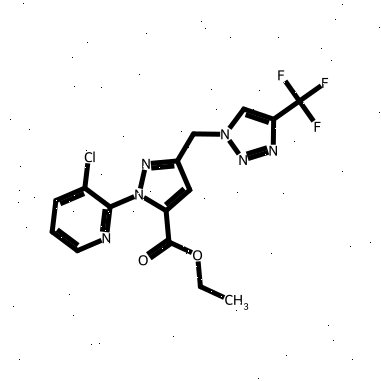 CCOC(=O)c1cc(Cn2cc(C(F)(F)F)nn2)nn1-c1ncccc1Cl